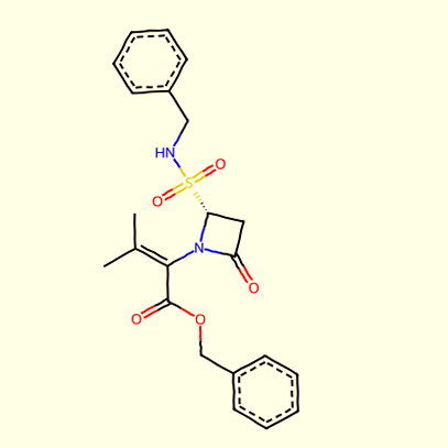 CC(C)=C(C(=O)OCc1ccccc1)N1C(=O)C[C@H]1S(=O)(=O)NCc1ccccc1